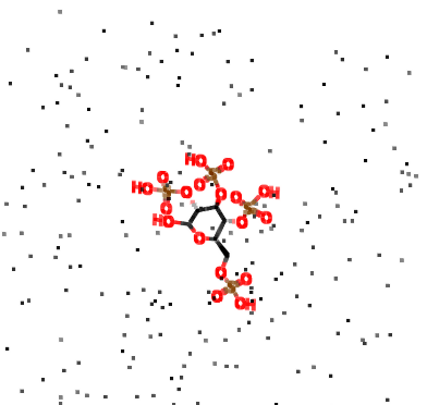 O=S(=O)(O)OC[C@H]1OC(O)[C@H](OS(=O)(=O)O)[C@@H](OS(=O)(=O)O)[C@@H]1OS(=O)(=O)O